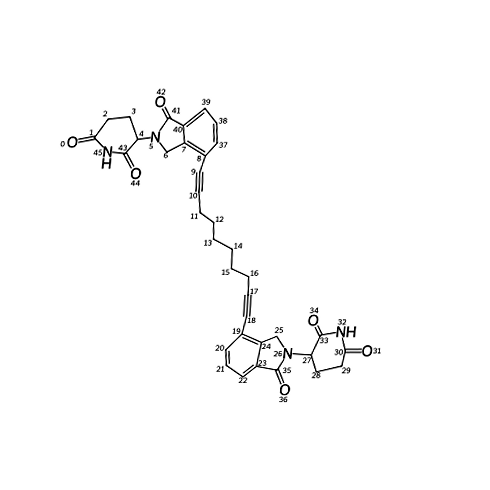 O=C1CCC(N2Cc3c(C#CCCCCCCC#Cc4cccc5c4CN(C4CCC(=O)NC4=O)C5=O)cccc3C2=O)C(=O)N1